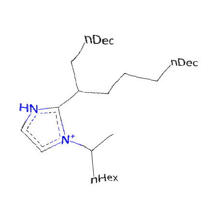 CCCCCCCCCCCCCC(CCCCCCCCCCC)c1[nH]cc[n+]1C(C)CCCCCC